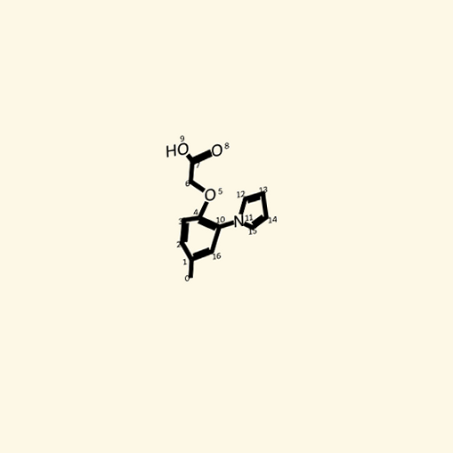 Cc1ccc(OCC(=O)O)c(-n2cccc2)c1